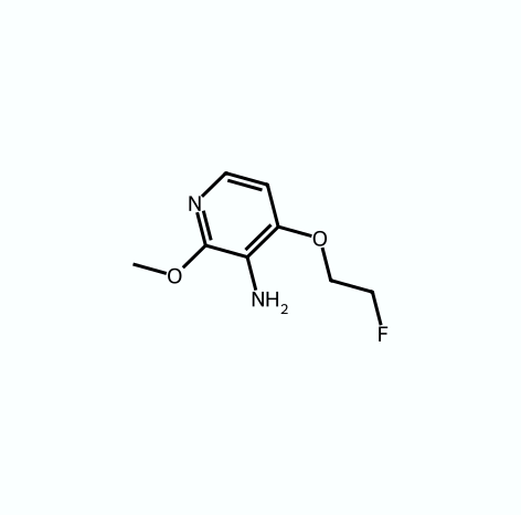 COc1nccc(OCCF)c1N